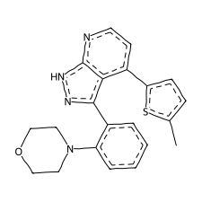 Cc1ccc(-c2ccnc3[nH]nc(-c4ccccc4N4CCOCC4)c23)s1